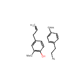 C=CCc1ccc(O)c(OC)c1.COc1ccc(CCC(C)=O)cc1